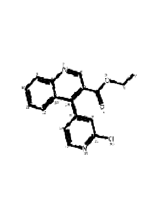 CCOC(=O)c1cnc2ccccc2c1-c1ccnc(Cl)c1